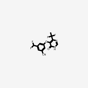 CC(F)(F)c1nc[nH]c(=O)c1Oc1cc(C#N)cc(C(F)F)c1